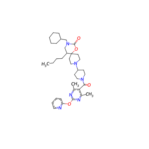 CCCCC1CN(CC2CCCCC2)C(=O)OC12CCN(C1CCN(C(=O)c3c(C)nc(Oc4ccccn4)nc3C)CC1)CC2